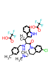 Cc1ccc(CNC(C(=O)N2C[C@@H](CN(C)C)Cc3cc(Cl)ccc32)C(C)c2c[nH]c3ccccc23)cc1.O=C(O)C(F)(F)F.O=C(O)C(F)(F)F